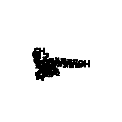 C=C(c1ccccc1)C12CCC(OCOC)C1CC(CCCCCCCCCCO)=C2c1ccccc1